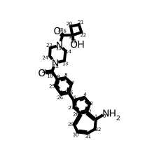 NC1=c2ccc(-c3ccc(C(=O)N4CCN(C(=O)C5(O)CCC5)CC4)cc3)cc2=CC=CC1